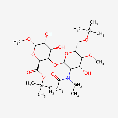 COC1[C@H](O)C(N([SiH2]C)C(C)=O)C(OC2[C@@H](C(=O)O[Si](C)(C)C)O[C@H](OC)[C@H](O)[C@H]2O)O[C@@H]1CO[Si](C)(C)C